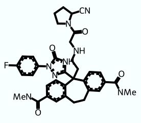 CNC(=O)c1ccc2c(c1)CCc1cc(C(=O)NC)ccc1C2(CCNCC(=O)N1CCCC1C#N)c1nn(-c2ccc(F)cc2)c(=O)[nH]1